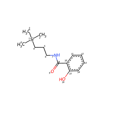 C[Si](C)(C)CCCNC(=O)c1ccccc1O